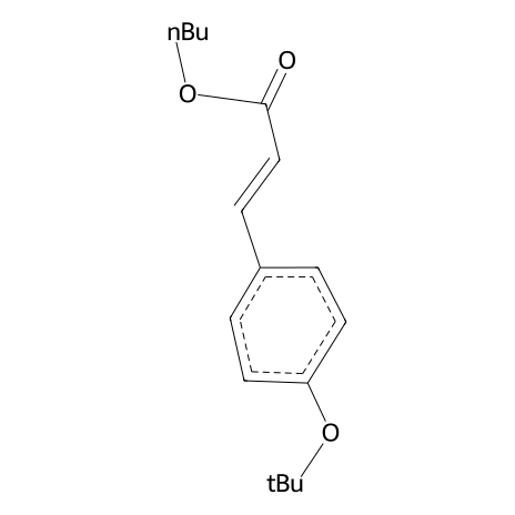 CCCCOC(=O)C=Cc1ccc(OC(C)(C)C)cc1